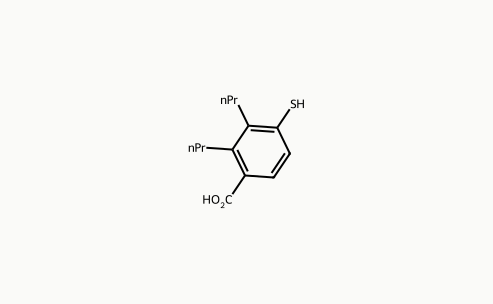 CCCc1c(S)ccc(C(=O)O)c1CCC